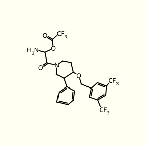 NC(OC(=O)C(F)(F)F)C(=O)N1CCC(OCc2cc(C(F)(F)F)cc(C(F)(F)F)c2)C(c2ccccc2)C1